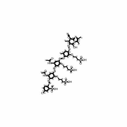 CC(=O)Nc1cc(N=Nc2cc(OCCCS(=O)(=O)O)c(N=Nc3c(C)c(C#N)c4nc(C)c(C)n4c3O)cc2C)c(SCCCS(=O)(=O)O)cc1N=Nc1cc(NC(C)=O)c(N=Nc2ccc(Cl)cc2S(=O)(=O)O)cc1SCCCS(=O)(=O)O